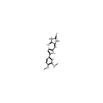 COc1ccc(-c2ccc(/C=C3/NC(=S)NC3=O)s2)cc1OC